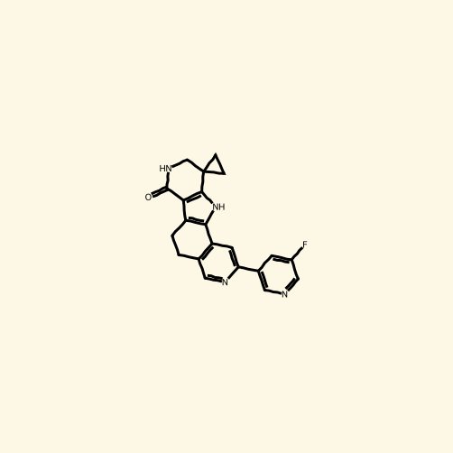 O=C1NCC2(CC2)c2[nH]c3c(c21)CCc1cnc(-c2cncc(F)c2)cc1-3